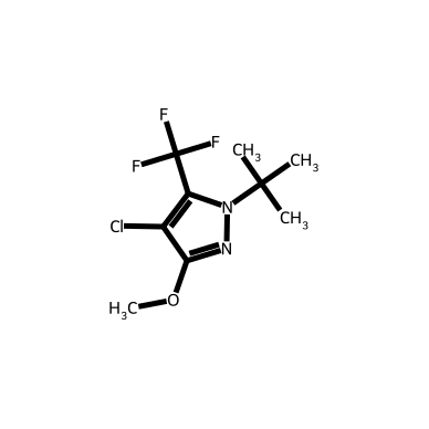 COc1nn(C(C)(C)C)c(C(F)(F)F)c1Cl